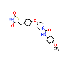 O=C1NC(=O)C(Cc2ccc(OC3CCN(C(=O)Nc4ccc(OC(F)(F)F)cc4)CC3)cc2)S1